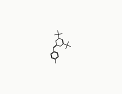 Cc1ccc(C=C2CC(C(C)(C)C)=CC(C(C)(C)C)C2)cc1